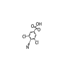 N#Cc1c(Cl)cc(S(=O)(=O)O)cc1Cl